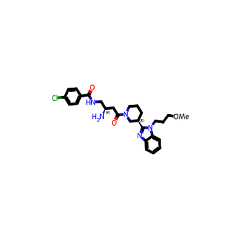 COCCCn1c([C@@H]2CCCN(C(=O)C[C@@H](N)CNC(=O)c3ccc(Cl)cc3)C2)nc2ccccc21